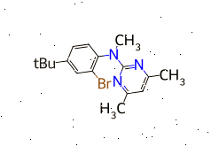 Cc1cc(C)nc(N(C)c2ccc(C(C)(C)C)cc2Br)n1